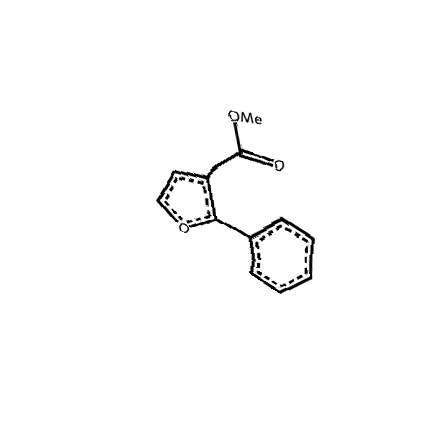 COC(=O)c1ccoc1-c1ccccc1